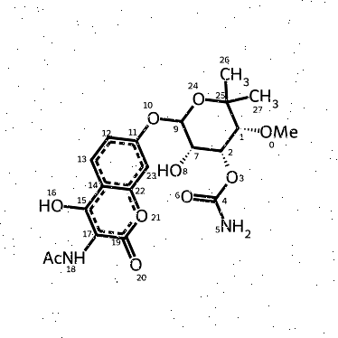 CO[C@@H]1[C@H](OC(N)=O)[C@H](O)C(Oc2ccc3c(O)c(NC(C)=O)c(=O)oc3c2)OC1(C)C